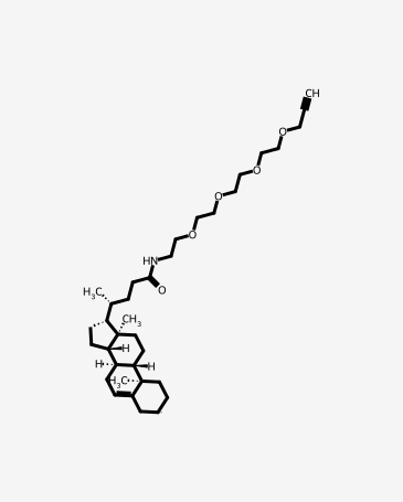 C#CCOCCOCCOCCOCCNC(=O)CC[C@@H](C)[C@H]1CC[C@H]2[C@@H]3CC=C4C[CH]CC[C@]4(C)[C@H]3CC[C@]12C